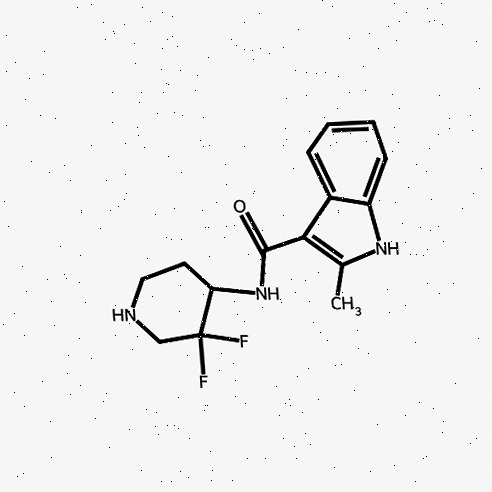 Cc1[nH]c2ccccc2c1C(=O)NC1CCNCC1(F)F